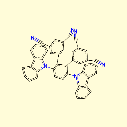 N#Cc1cc(C#N)cc(-c2c(-n3c4ccccc4c4ccccc43)ccc(-n3c4ccccc4c4ccccc43)c2-c2cc(C#N)cc(C#N)c2)c1